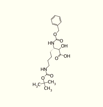 CC(C)(C)OC(=O)NCCCC[C@H](NC(=O)OCc1ccccc1)C(O)C(=O)O